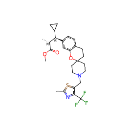 COC(=O)[C@H](C)[C@H](c1ccc2c(c1)OC1(CC2)CCN(Cc2sc(C)nc2C(F)(F)F)CC1)C1CC1